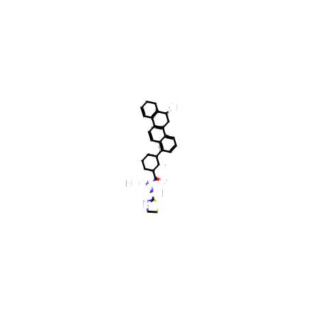 C1=NCCS1.CC1Cc2c(ccc3c(C4CCCC(C(=O)N(C)C)C4)cccc23)C2=C1CCC=C2